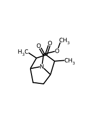 COC(=O)N1C2CCC1C(C)C(=O)C2C